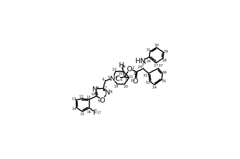 O=C(O[C@H]1C[N+]2(Cc3noc(-c4ccccc4F)n3)CCC1CC2)[C@H](Nc1ccccc1)c1ccccc1